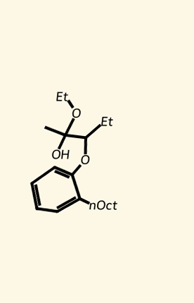 CCCCCCCCc1ccccc1OC(CC)C(C)(O)OCC